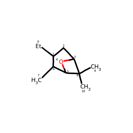 CCC1CC2OC(C1C)C2(C)C